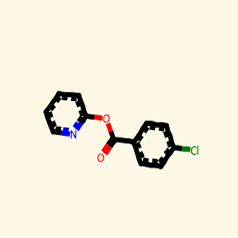 O=C(Oc1ccccn1)c1ccc(Cl)cc1